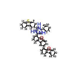 c1ccc(C2NC(c3ccc4sc5ccccc5c4c3)NC(c3cccc4c3oc3ccc(-c5cccc6c5oc5ccccc56)cc34)N2)cc1